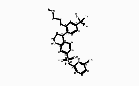 COCCCc1cc(C(F)(F)F)ccc1C1CCOc2cc(S(=O)(=O)Nc3cccc(F)n3)ccc21